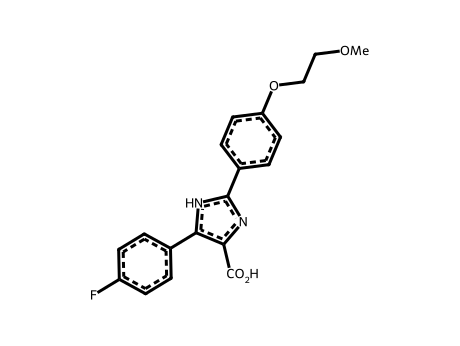 COCCOc1ccc(-c2nc(C(=O)O)c(-c3ccc(F)cc3)[nH]2)cc1